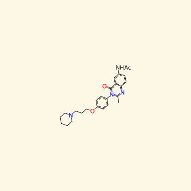 CC(=O)Nc1ccc2nc(C)n(-c3ccc(OCCCN4CCCCC4)cc3)c(=O)c2c1